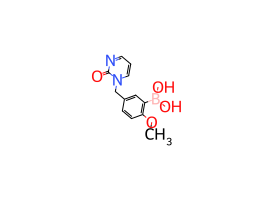 COc1ccc(Cn2cccnc2=O)cc1B(O)O